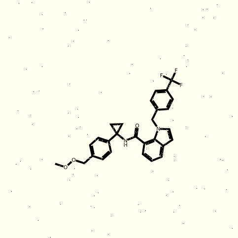 COOCc1ccc(C2(NC(=O)c3cccc4ccn(Cc5ccc(C(F)(F)F)cc5)c34)CC2)cc1